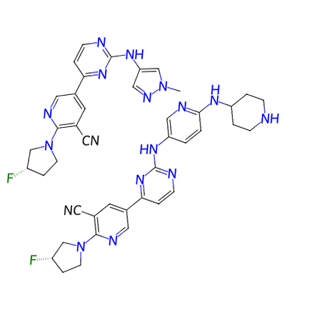 Cn1cc(Nc2nccc(-c3cnc(N4CC[C@H](F)C4)c(C#N)c3)n2)cn1.N#Cc1cc(-c2ccnc(Nc3ccc(NC4CCNCC4)nc3)n2)cnc1N1CC[C@H](F)C1